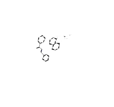 O=C(/C=C/c1ccccc1)c1ccccc1.O=S(=O)(O)O.Oc1cccc2ccccc12